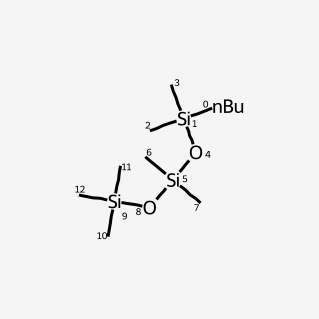 CCCC[Si](C)(C)O[Si](C)(C)O[Si](C)(C)C